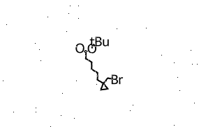 CC(C)(C)OC(=O)CCCCCC1(CBr)CC1